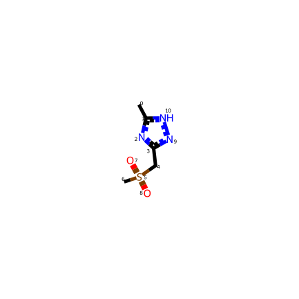 Cc1nc(CS(C)(=O)=O)n[nH]1